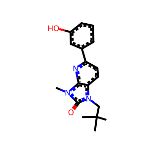 Cn1c(=O)n(CC(C)(C)C)c2ccc(-c3cccc(O)c3)nc21